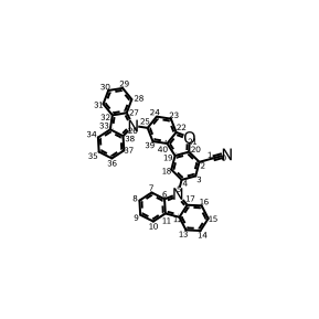 N#Cc1cc(-n2c3ccccc3c3ccccc32)cc2c1oc1ccc(-n3c4ccccc4c4ccccc43)cc12